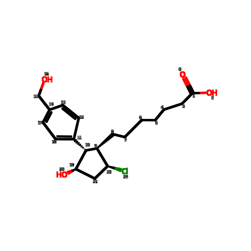 O=C(O)CCCCCC[C@@H]1[C@@H](c2ccc(CO)cc2)[C@H](O)C[C@@H]1Cl